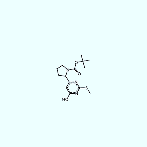 CSc1nc(O)cc(C2CCCN2C(=O)OC(C)(C)C)n1